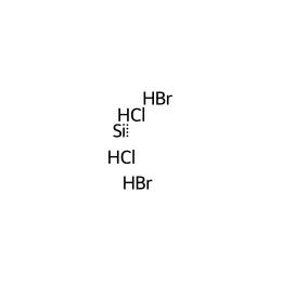 Br.Br.Cl.Cl.[Si]